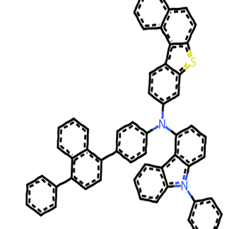 c1ccc(-c2ccc(-c3ccc(N(c4ccc5c(c4)sc4ccc6ccccc6c45)c4cccc5c4c4ccccc4n5-c4ccccc4)cc3)c3ccccc23)cc1